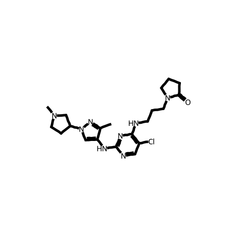 Cc1nn(C2CCN(C)C2)cc1Nc1ncc(Cl)c(NCCCN2CCCC2=O)n1